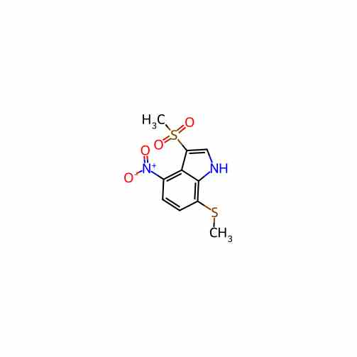 CSc1ccc([N+](=O)[O-])c2c(S(C)(=O)=O)c[nH]c12